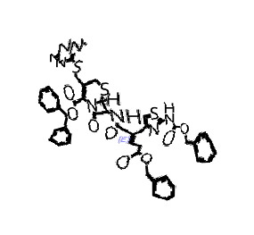 Cn1nnnc1SCC1=C(C(=O)OC(c2ccccc2)c2ccccc2)N2C(=O)C(NC(=O)/C(=C/CC(=O)OCc3ccccc3)c3csc(NC(=O)OCc4ccccc4)n3)[C@H]2SC1